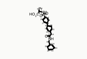 CC(C)C(NS(=O)(=O)c1ccc(-c2ccc(CC(=O)NCc3ccccc3)cc2)cc1)C(=O)O